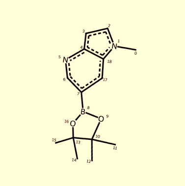 Cn1ccc2ncc(B3OC(C)(C)C(C)(C)O3)cc21